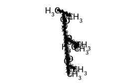 CCCCC(CCCC)CCOC(=O)CCCCCCCCCC(CCCCCCCCCC(=O)OCCC(CCCC)CCCC)C(=O)OCCCN(C)C(C)C